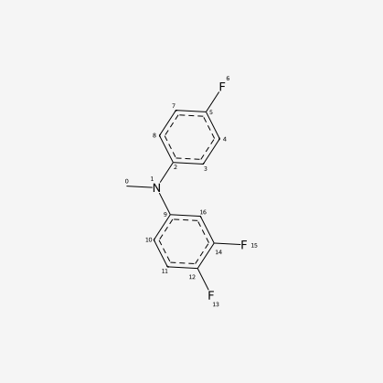 CN(c1ccc(F)cc1)c1ccc(F)c(F)c1